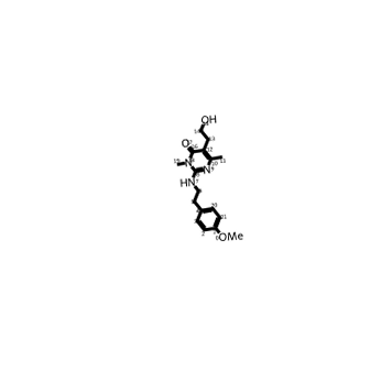 COc1ccc(CCNc2nc(C)c(CCO)c(=O)n2C)cc1